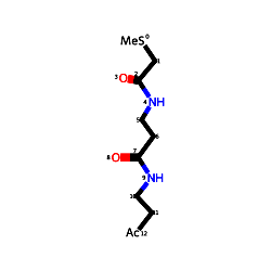 CSCC(=O)NCCC(=O)NCCC(C)=O